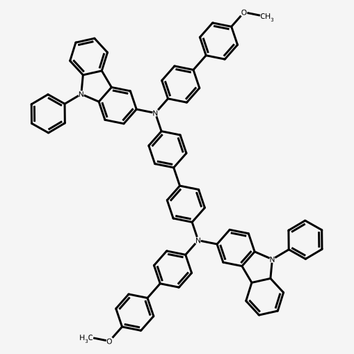 COc1ccc(-c2ccc(N(c3ccc(-c4ccc(N(c5ccc(-c6ccc(OC)cc6)cc5)c5ccc6c(c5)c5ccccc5n6-c5ccccc5)cc4)cc3)c3ccc4c(c3)C3C=CC=CC3N4c3ccccc3)cc2)cc1